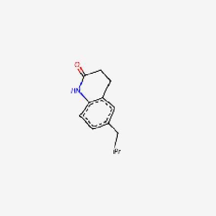 CC(C)Cc1ccc2c(c1)CCC(=O)N2